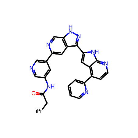 CC(C)CC(=O)Nc1cncc(-c2cc3c(-c4cc5c(-c6ccccn6)ccnc5[nH]4)n[nH]c3cn2)c1